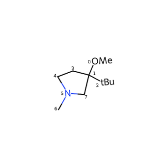 COC1(C(C)(C)C)CCN(C)C1